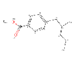 CCCC(C)Cc1ccc(C(=O)OC)cc1